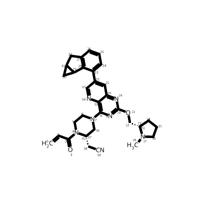 C=CC(=O)N1CCN(c2nc(OC[C@@H]3CCCN3C)nc3cc(-c4cccc5c4C4CC4C5)cnc23)C[C@@H]1CC#N